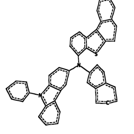 c1ccc(-n2c3ccccc3c3cc(N(c4ccc5ccccc5c4)c4cccc5c4sc4ccc6ccccc6c45)ccc32)cc1